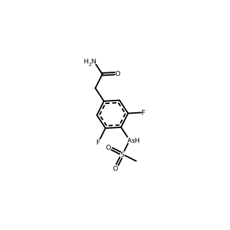 CS(=O)(=O)[AsH]c1c(F)cc([CH]C(N)=O)cc1F